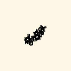 CC(C)(C)OC(=O)n1ccc2c(COc3c(I)ccnc3Cl)cccc21